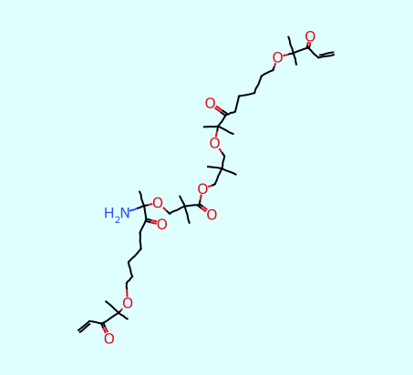 C=CC(=O)C(C)(C)OCCCCCC(=O)C(C)(C)OCC(C)(C)COC(=O)C(C)(C)COC(C)(N)C(=O)CCCCCOC(C)(C)C(=O)C=C